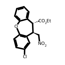 CCOC(=O)[C@H]1c2ccccc2Oc2ccc(Cl)cc2[C@@H]1C[N+](=O)[O-]